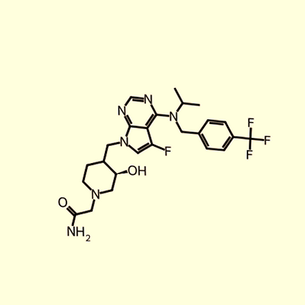 CC(C)N(Cc1ccc(C(F)(F)F)cc1)c1ncnc2c1c(F)cn2CC1CCN(CC(N)=O)C[C@@H]1O